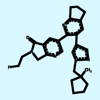 CC1(Cn2cc(-c3cc4c(nc3-c3cnc5c(c3)C(=O)N(CCF)C5)CCC4)cn2)CCCC1